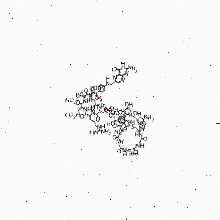 CCC(C)[C@@H]1NC(=O)CNC(=O)[C@@H]2Cc3c([nH]c4cc(O)ccc34)SC[C@@H](NC(=O)CNC1=O)C(=O)N[C@@H](CC(N)=O)C(O)N1C[C@H](O)C[C@H]1C(=O)NC([C@@H](O)COC(=O)OCCSSC[C@H](NC(=O)[C@H](CC(=O)O)NC(=O)[C@H](CC(=O)O)NC(=O)[C@H](CCCNC(=N)N)NC(=O)[C@H](CC(=O)O)NC(=O)CC[C@H](NC(=O)c1ccc(NCc3cnc4nc(N)[nH]c(=O)c4n3)cc1)C(=O)O)C(=O)O)C(=O)N2